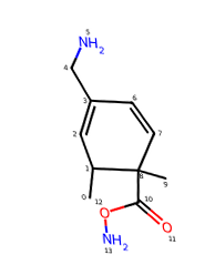 CC1C=C(CN)C=CC1(C)C(=O)ON